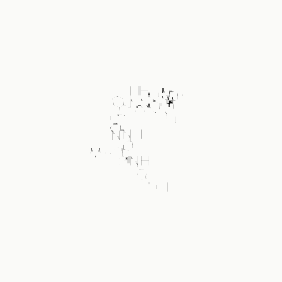 COc1cc(Nc2cc(Oc3ccc(NC(=O)Nc4cc(C(C)(C)C)cc(NS(C)(=O)=O)c4OC)c4ccccc34)ccn2)ccc1C(=O)NCCOCCO